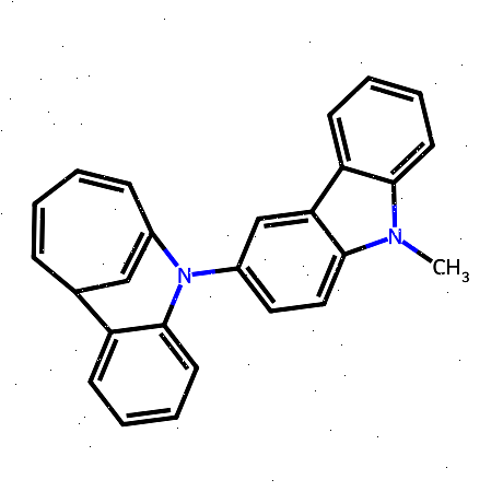 Cn1c2ccccc2c2cc(N3C4=CC(C=CC=C4)c4ccccc43)ccc21